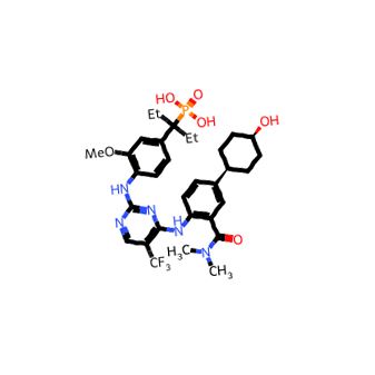 CCC(CC)(c1ccc(Nc2ncc(C(F)(F)F)c(Nc3ccc([C@H]4CC[C@@H](O)CC4)cc3C(=O)N(C)C)n2)c(OC)c1)P(=O)(O)O